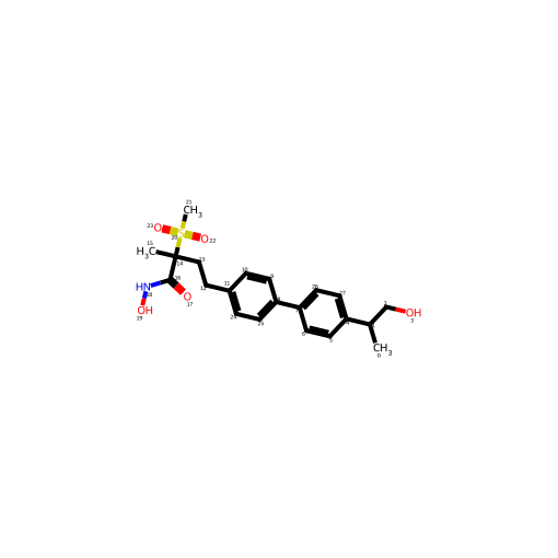 CC(CO)c1ccc(-c2ccc(CCC(C)(C(=O)NO)S(C)(=O)=O)cc2)cc1